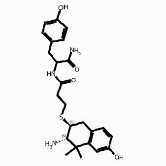 CC1(C)c2cc(O)ccc2C[C@H](SCCC(=O)NC(Cc2ccc(O)cc2)C(N)=O)[C@H]1N